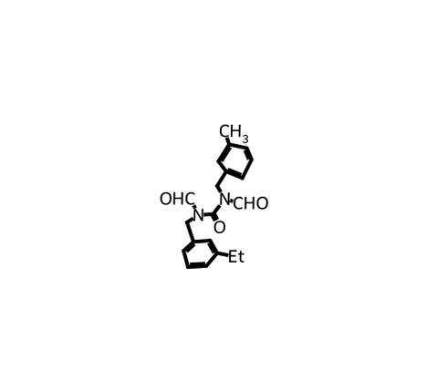 CCc1cccc(CN(C=O)C(=O)N(C=O)Cc2cccc(C)c2)c1